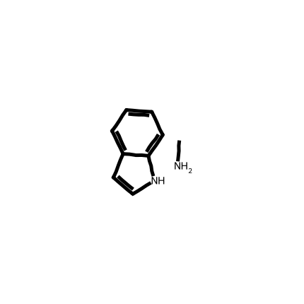 CN.c1ccc2[nH]ccc2c1